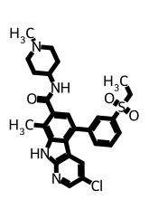 CCS(=O)(=O)c1cccc(-c2cc(C(=O)NC3CCN(C)CC3)c(C)c3[nH]c4ncc(Cl)cc4c23)c1